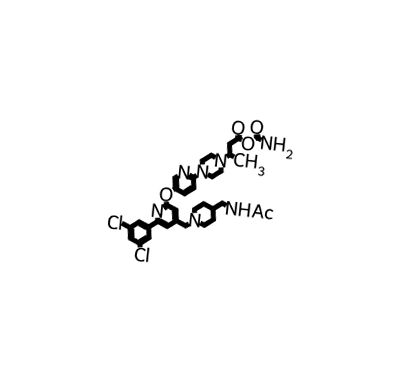 CC(=O)NCC1CCN(Cc2cc(Oc3ccc(N4CCN(C(C)CC(=O)OC(N)=O)CC4)nc3)nc(-c3cc(Cl)cc(Cl)c3)c2)CC1